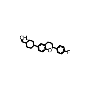 C=CC1CCC(c2ccc3c(c2)CCC(c2ccc(F)cc2)O3)CC1